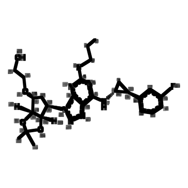 CCCSc1nc(N[C@@H]2C[C@H]2c2cccc(F)c2)c2nnn([C@@H]3C[C@H](OCCO)[C@H]4OC(C)(C)O[C@H]43)c2n1